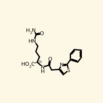 NC(=O)NCCC[C@H](NC(=O)Cc1csc(-c2ccccc2)n1)C(=O)O